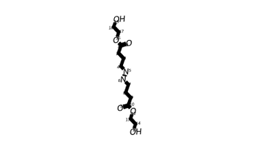 O=C(CCCN=NCCCC(=O)OCCO)OCCO